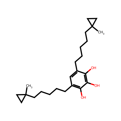 CC1(CCCCCc2cc(CCCCCC3(C)CC3)c(O)c(O)c2O)CC1